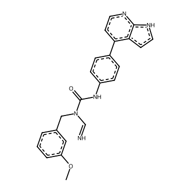 COc1cccc(CN(C=N)C(=O)Nc2ccc(-c3ccnc4[nH]ccc34)cc2)c1